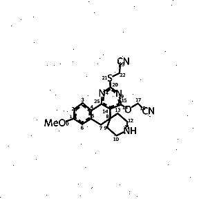 COc1ccc2c(c1)CC1(CCNCC1)c1c(OCC#N)nc(SCC#N)nc1-2